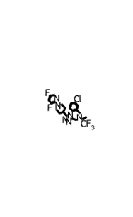 CC(N1Cc2cc(Cl)ccc2-n2c(nnc2C2CCN(c3ncc(F)cc3F)CC2)C1)C(F)(F)F